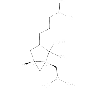 CN(C)C[C@@]12C[C@@H]1CC(CCCB(O)O)C2(N)C(=O)O